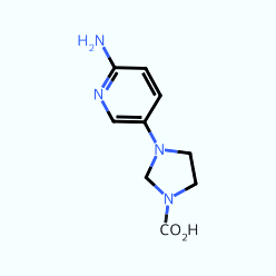 Nc1ccc(N2CCN(C(=O)O)C2)cn1